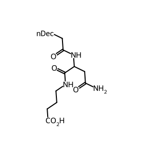 CCCCCCCCCCCC(=O)NC(CC(N)=O)C(=O)NCCCC(=O)O